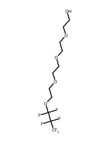 OCCOCCOCCOCCOC(F)(F)C(F)(F)C(F)(F)F